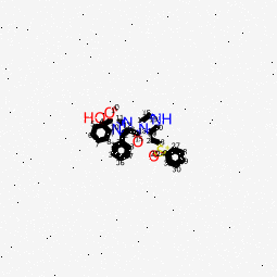 COC[C@]1(O)CCCC[C@H]1n1cnc(C(=O)N2CCNC[C@H]2CC[S+]([O-])c2ccccc2)c1-c1ccccc1